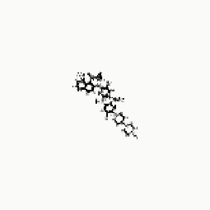 COc1nc(N2CCC(N3CCN(C)CC3)CC2)c(C)cc1Nc1ncc(Br)c(Nc2ccc3nccnc3c2N(SC)C2CC2)n1